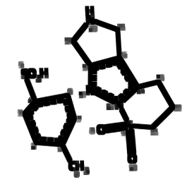 Cc1ccc(S(=O)(=O)O)cc1.O=S1(=O)CCCc2c3c(nn21)CNC3